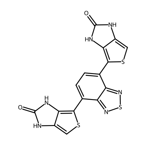 O=c1[nH]c2csc(-c3ccc(-c4scc5[nH]c(=O)[nH]c45)c4nsnc34)c2[nH]1